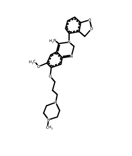 COc1cc2c(cc1OCCCN1CCN(C)CC1)=NCN(c1cccc3c1COO3)C=2N